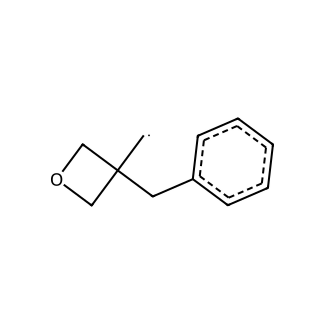 [CH2]C1(Cc2ccccc2)COC1